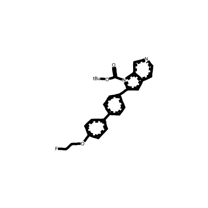 CC(C)(C)OC(=O)n1c(-c2ccc(-c3ccc(OCCF)cc3)cc2)cc2ccncc21